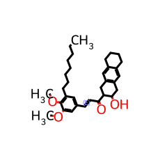 CCCCCCCCc1cc(/C=C/C(=O)C2Cc3cc4c(cc3CC2O)CCCC4)cc(OC)c1OC